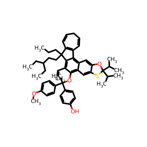 C=Cc1c2c(c3cc4c(cc3c1OC(C)(c1ccc(O)cc1)c1ccc(OC)cc1)SC(C(C)C)(C(C)C)O4)C1=C(C=CCC=C1)C2(CCC)CCC(CC)CC